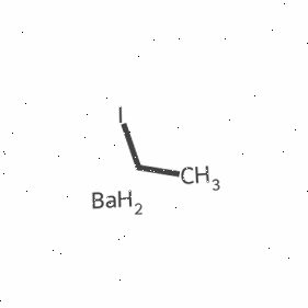 CCI.[BaH2]